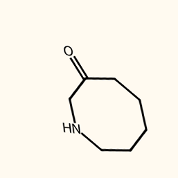 O=C1CCCCCNC1